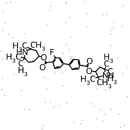 CC1(C)CCC(OC(=O)c2ccc(-c3ccc(C(=O)OC4CC(C)(C)NC4(C)C)cc3)cc2F)CC(C)(C)N1